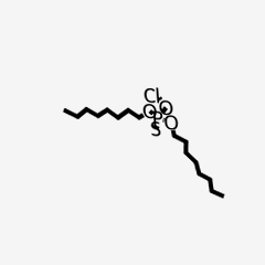 CCCCCCCCOP(=S)(OCl)OCCCCCCCC